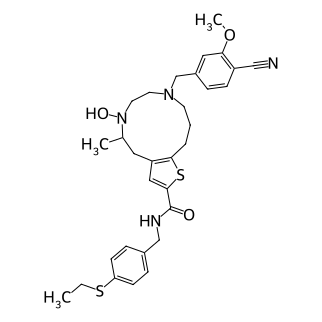 CCSc1ccc(CNC(=O)c2cc3c(s2)CCCN(Cc2ccc(C#N)c(OC)c2)CCN(O)C(C)C3)cc1